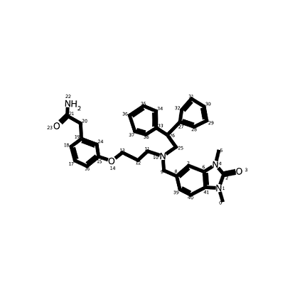 Cn1c(=O)n(C)c2cc(CN(CCCOc3cccc(CC(N)=O)c3)CC(c3ccccc3)c3ccccc3)ccc21